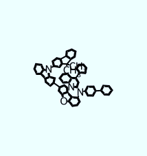 CC1(C)c2ccccc2-c2ccc(-n3c4ccccc4c4ccc(-c5ccc6c(c5)oc5cccc(N(c7ccc(-c8ccccc8)cc7)c7cc(-c8ccccc8)c8ccccc8n7)c56)cc43)cc21